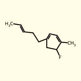 C/C=C/CCC1=CC=C(C)C(F)C1